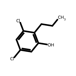 CCCc1c(O)cc(Cl)cc1Cl